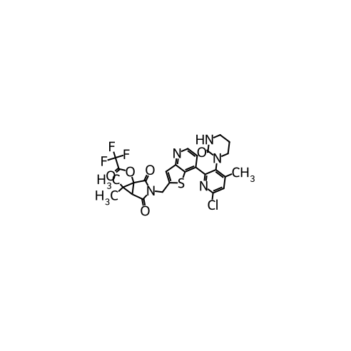 Cc1cc(Cl)nc(-c2ccnc3cc(CN4C(=O)C5C(C)(C)C5(OC(=O)C(F)(F)F)C4=O)sc23)c1N1CCCNC1=O